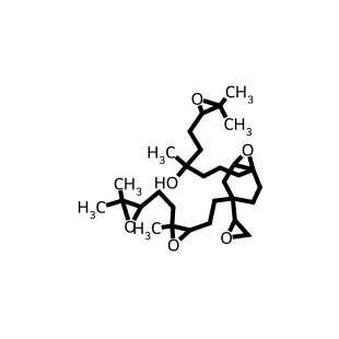 CC(O)(CCCC12CCC(CCC3OC3(C)CCC3OC3(C)C)(C3CO3)CC1O2)CCC1OC1(C)C